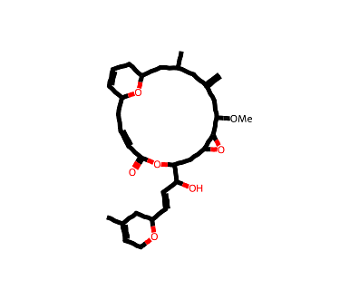 C=C1CC(C)CC2CC=CC(CC=CC(=O)OC(C(O)C=CC3CC(C)=CCO3)CC3OC3C(OC)C1)O2